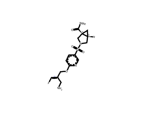 CNC(=O)[C@@]12C[C@@H]1CN(S(=O)(=O)c1ccc(OC/C(=C/F)CN)nc1)C2